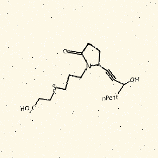 CCCCCC(O)C#CC1CCC(=O)N1CCCSCCC(=O)O